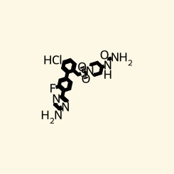 Cl.NC(=O)NC1CCN(S(=O)(=O)Cc2ccccc2-c2ccc(-c3cnc(N)cn3)c(F)c2)CC1